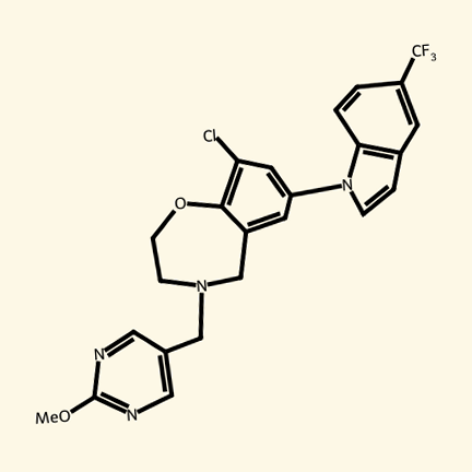 COc1ncc(CN2CCOc3c(Cl)cc(-n4ccc5cc(C(F)(F)F)ccc54)cc3C2)cn1